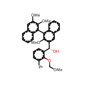 COCOc1c(C(C)C)cccc1[C@@H](O)c1cc2ccccc2c(-c2c(OC)c(OC)cc3ccccc23)c1OC